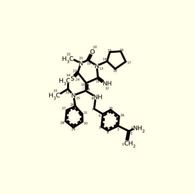 C=C(N)c1ccc(CN/C(=C2\C(=N)N(C3CCCC3)C(=O)N(C)C2=S)N(c2ccccc2)C(C)C)cc1